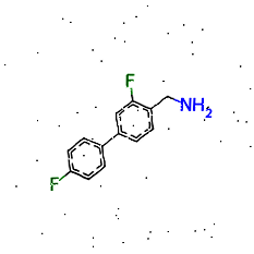 NCc1ccc(-c2ccc(F)cc2)cc1F